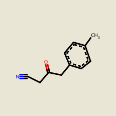 Cc1ccc(CC(=O)CC#N)cc1